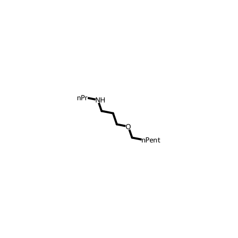 CCCCCCOCCCNCCC